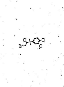 COc1cc(C(C)(C)C(=O)CBr)ccc1Cl